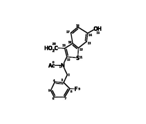 CC(=O)N(Cc1ccccc1F)c1sc2cc(O)ccc2c1C(=O)O